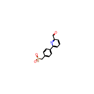 O=Cc1cccc(-c2ccc(C[SH](=O)=O)cc2)n1